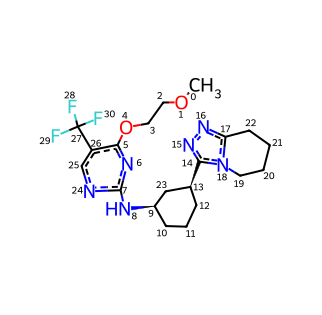 COCCOc1nc(N[C@@H]2CCC[C@H](c3nnc4n3CCCC4)C2)ncc1C(F)(F)F